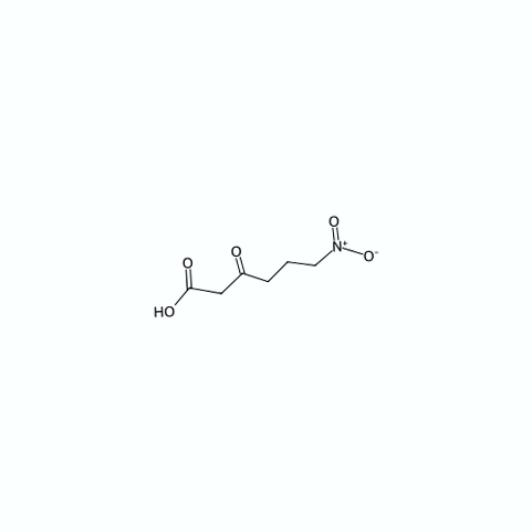 O=C(O)CC(=O)CCC[N+](=O)[O-]